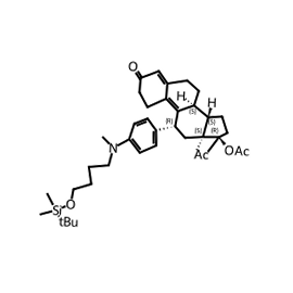 CC(=O)O[C@]1(C(C)=O)CC[C@H]2[C@@H]3CCC4=CC(=O)CCC4=C3[C@@H](c3ccc(N(C)CCCCO[Si](C)(C)C(C)(C)C)cc3)C[C@@]21C